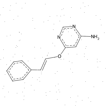 Nc1cc(OC=Cc2ccccc2)ncn1